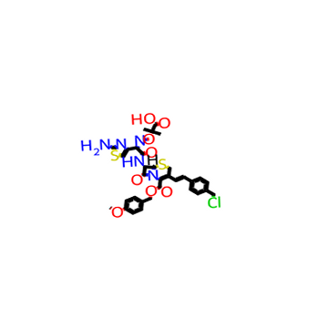 COc1ccc(COC(=O)C2=C(/C=C/c3ccc(CCl)cc3)CS[C@@H]3[C@H](NC(=O)/C(=N\OC(C)(C)C(=O)O)c4csc(N)n4)C(=O)N23)cc1